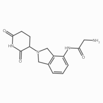 NCC(=O)Nc1cccc2c1CN(C1CCC(=O)NC1=O)C2